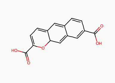 O=C(O)C1=CC=C2C=c3ccc(C(=O)O)cc3=CC2O1